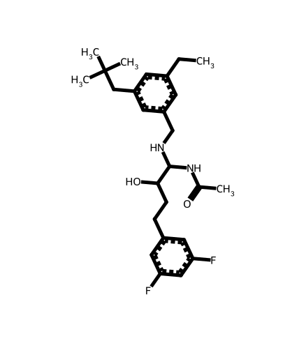 CCc1cc(CNC(NC(C)=O)C(O)CCc2cc(F)cc(F)c2)cc(CC(C)(C)C)c1